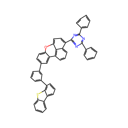 c1ccc(-c2nc(-c3ccccc3)nc(-c3ccc4c5c(cccc35)-c3cc(-c5cccc(-c6cccc7c6sc6ccccc67)c5)ccc3O4)n2)cc1